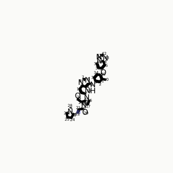 Cc1cc(Nc2ncnc3cc4c(nc23)N2CCN(C(=O)/C=C/[C@@H]3CCCN3C)C(CO4)C2)ccc1Oc1ccn2ncnc2c1